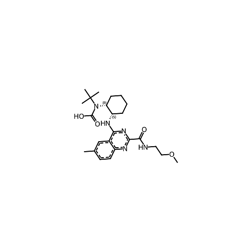 COCCNC(=O)c1nc(N[C@H]2CCCC[C@H]2N(C(=O)O)C(C)(C)C)c2cc(C)ccc2n1